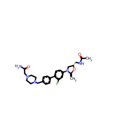 C=C1O[C@@H](CNC(C)=O)CN1c1ccc(-c2ccc(CN3CCN(CC(N)=O)CC3)cc2)c(F)c1